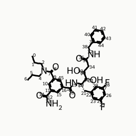 CCCN(CCC)C(=O)c1cc(C(N)=O)cc(C(=O)N[C@@H](Cc2cc(F)cc(F)c2)[C@@H](O)[C@H](O)CC(=O)NCc2ccccc2)c1